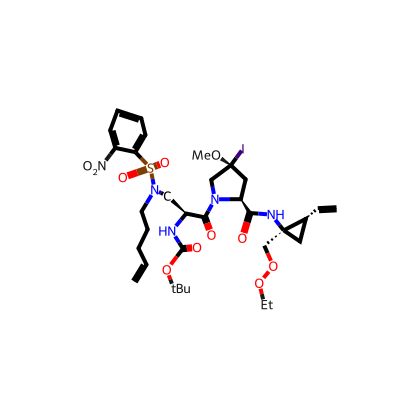 C=CCCCN(C[C@H](NC(=O)OC(C)(C)C)C(=O)N1C[C@@](I)(OC)C[C@H]1C(=O)N[C@]1(COOCC)C[C@H]1C=C)S(=O)(=O)c1ccccc1[N+](=O)[O-]